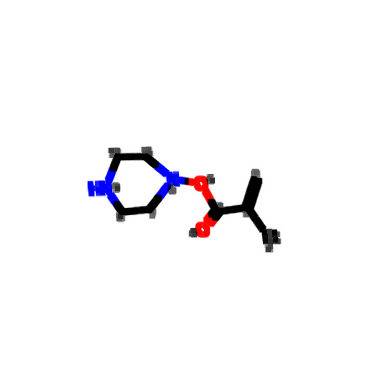 C=C(CC)C(=O)ON1CCNCC1